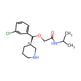 CC(C)NC(=O)COC(c1cccc(Cl)c1)[C@@H]1CCCNC1